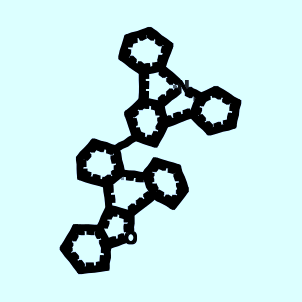 c1ccc2c(c1)oc1c3ccccc3c3c(-c4cc5c6ccccc6n6c7ccccc7c(c4)c56)cccc3c21